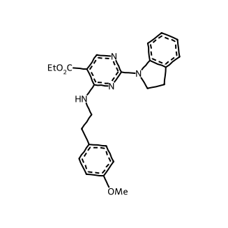 CCOC(=O)c1cnc(N2CCc3ccccc32)nc1NCCc1ccc(OC)cc1